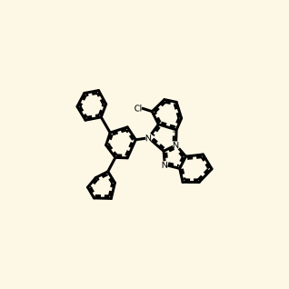 Clc1cccc2c1n(-c1cc(-c3ccccc3)cc(-c3ccccc3)c1)c1nc3ccccc3n21